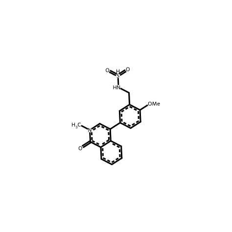 COc1ccc(-c2cn(C)c(=O)c3ccccc23)cc1CN[SH](=O)=O